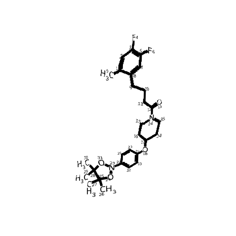 Cc1cc(F)c(F)cc1CCCC(=O)N1CCC(Oc2ccc(N3OC(C)(C)C(C)(C)O3)cc2)CC1